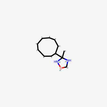 CC1(C2CCCCCCCC2)NCON1